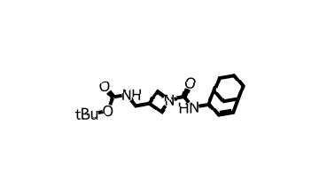 CC(C)(C)OC(=O)NCC1CN(C(=O)NC2C=CC3CCCC2C3)C1